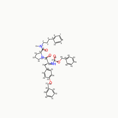 CN(CCCc1ccccc1)C(=O)[C@@H]1CCCN1C(=O)[C@H](Cc1ccc(OCc2ccccc2)cc1)NC(=O)OCc1ccccc1